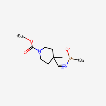 CC1(/C=N\[S+]([O-])C(C)(C)C)CCN(C(=O)OC(C)(C)C)CC1